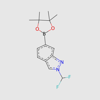 CC1(C)OB(c2ccc3cn(C(F)F)nc3c2)OC1(C)C